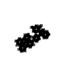 Cc1ccc(-c2nc3ccccc3n2-c2ccc(-c3ccc4c(c3)C3(c5ccccc5-c5ccccc53)c3ccccc3-4)cc2)c(C)n1